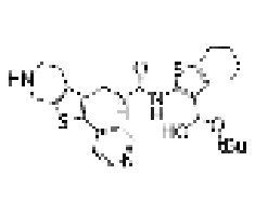 CC(C)(C)OC(O)c1c(NC(=O)NCc2c(-c3ccncc3)sc3c2CCNC3)sc2c1CCCC2